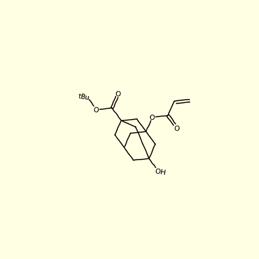 C=CC(=O)OC12CC3CC(O)(C1)CC(C(=O)OC(C)(C)C)(C3)C2